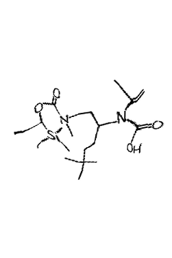 C=C(C)N(C(=O)O)C(CCC(C)(C)C)CN(C)C(=O)O[C@H](C)[Si](C)(C)C